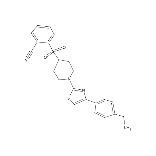 CCc1ccc(-c2csc(N3CCC(S(=O)(=O)c4ccccc4C#N)CC3)n2)cc1